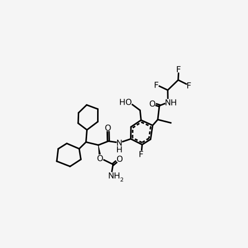 CC(C(=O)NC(F)C(F)F)c1cc(F)c(NC(=O)[C@@H](OC(N)=O)C(C2CCCCC2)C2CCCCC2)cc1CO